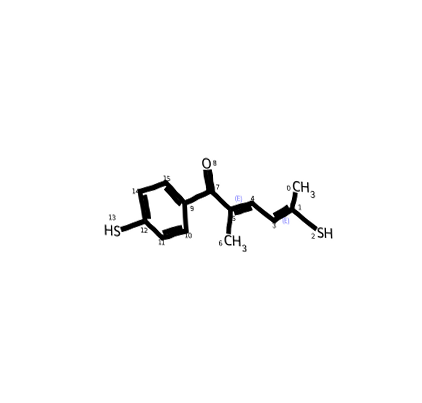 C/C(S)=C\C=C(/C)C(=O)c1ccc(S)cc1